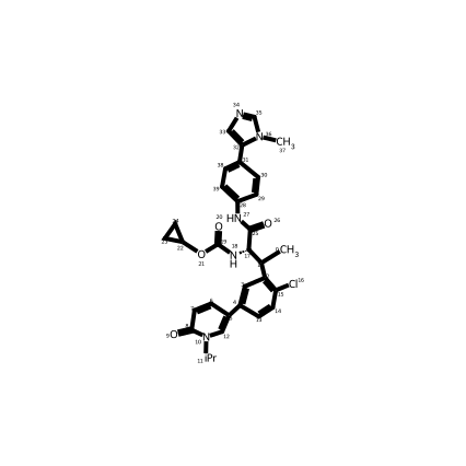 CC(c1cc(-c2ccc(=O)n(C(C)C)c2)ccc1Cl)[C@H](NC(=O)OC1CC1)C(=O)Nc1ccc(-c2cncn2C)cc1